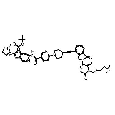 CN1CCC[C@@H]1c1cc2cnc(NC(=O)c3ccc(N4CCC(C#Cc5cccc6c5CN(C5CCC(=O)N(COCC[Si](C)(C)C)C5=O)C6=O)CC4)nc3)cc2n1C(=O)OC(C)(C)C